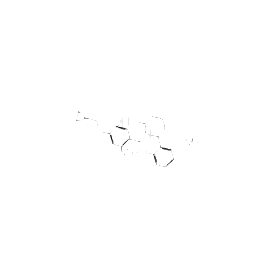 COc1cccc(OC)c1C1CCCC(C=O)N1Cc1ccc(OCC2CC2)cc1